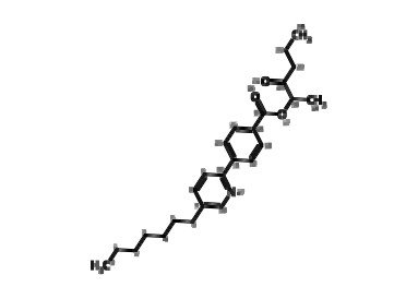 CCCCCCCc1ccc(-c2ccc(C(=O)OC(C)C(=O)CCC)cc2)nc1